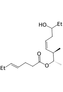 CC/C=C/CCC(=O)O[C@@H](C)[C@H](C)/C=C\CC(O)CC